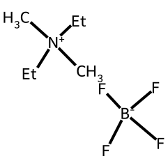 CC[N+](C)(C)CC.F[B-](F)(F)F